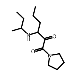 CCCC(NC(C)CC)C(=O)C(=O)N1CCCC1